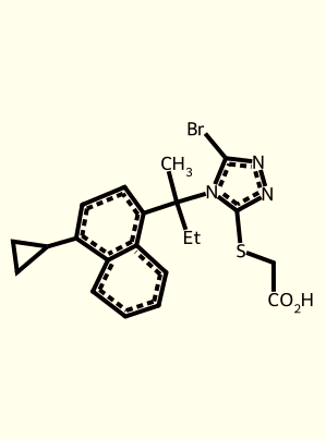 CCC(C)(c1ccc(C2CC2)c2ccccc12)n1c(Br)nnc1SCC(=O)O